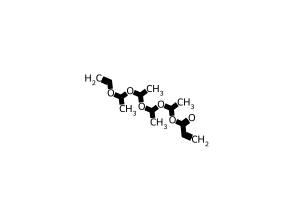 C=COC(C)OC(C)OC(C)OC(C)OC(=O)C=C